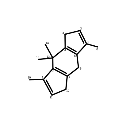 CC1=CCC2=C1CC1=C(C(C)=CC1)C2(C)C